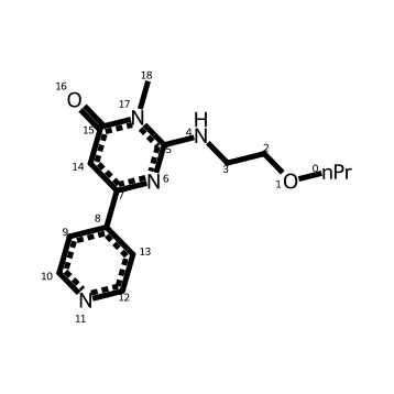 CCCOCCNc1nc(-c2ccncc2)cc(=O)n1C